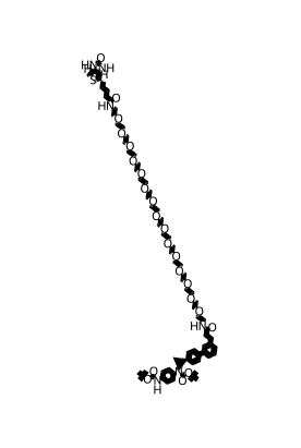 CC(C)(C)OC(=O)N[C@H]1CC[C@H](N(C(=O)OC(C)(C)C)[C@@H]2C[C@H]2c2ccc(-c3cccc(CCC(=O)NCCOCCOCCOCCOCCOCCOCCOCCOCCOCCOCCOCCOCCOCCOCCOCCNC(=O)CCCC[C@@H]4SC[C@@H]5NC(=O)N[C@@H]54)c3)cc2)CC1